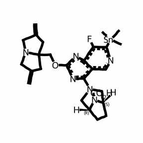 C=C1CN2CC(=C)CC2(COc2nc(N3C[C@H]4CC[C@@H](C3)N4C(=O)O)c3cn[c]([Sn]([CH3])([CH3])[CH3])c(F)c3n2)C1